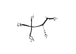 ClC[C@H](Cl)C(Cl)(Cl)Cl